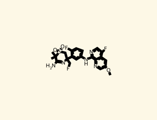 COc1cnc2c(Nc3ccc(F)c(C4(CF)CS(=O)(=O)C(C)(C)C(N)=N4)c3)ncc(F)c2c1